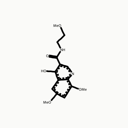 COCCNC(=O)c1cnc2c(OC)cc(OC)cc2c1O